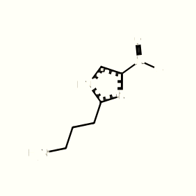 NCCCc1nc([N+](=O)[O-])c[nH]1